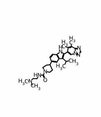 Cc1c(-c2[nH]c3ccc(C4CCN(C(=O)NCCN(C)C)CC4)cc3c2C(C)C)cn2ncnc2c1C